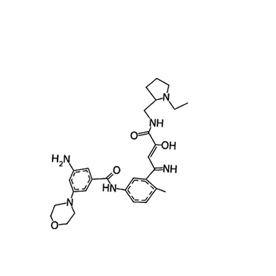 CCN1CCCC1CNC(=O)/C(O)=C/C(=N)c1cc(NC(=O)c2cc(N)cc(N3CCOCC3)c2)ccc1C